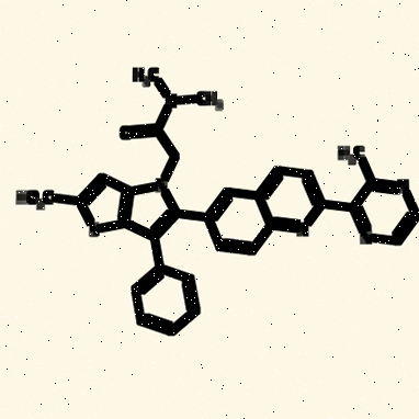 Cc1nccnc1-c1ccc2cc(-c3c(-c4ccccc4)c4sc(C(=O)O)cc4n3CC(=O)N(C)C)ccc2n1